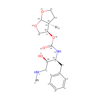 CC(C)NC[C@@H](O)[C@H](Cc1ccccc1)NC(=O)O[C@H]1COC2OCC[C@H]21